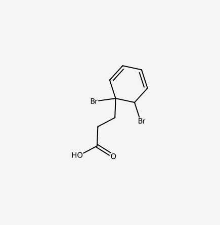 O=C(O)CCC1(Br)C=CC=CC1Br